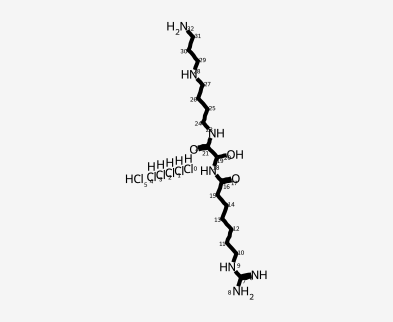 Cl.Cl.Cl.Cl.Cl.Cl.N=C(N)NCCCCCCC(=O)NC(O)C(=O)NCCCCNCCCN